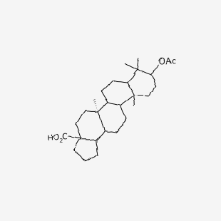 CC(=O)OC1CCC2(C)C3CCC4C5CCCC5(C(=O)O)CC[C@@]4(C)C3CCC2C1(C)C